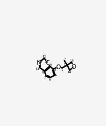 CC1(COc2cccc3c2CCN=C3)COC1